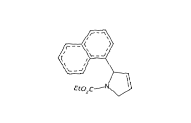 CCOC(=O)N1CC=CC1c1cccc2ccccc12